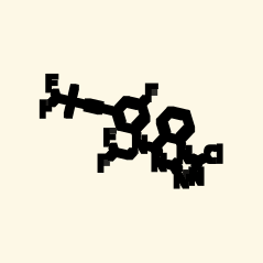 CC(C)(C#Cc1cc(F)cc(N(CC(F)F)c2nc3nnc(Cl)n3c3ccccc23)c1)C(F)F